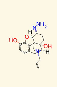 C=CCN1CC[C@]23c4c5ccc(O)c4O[C@H]2/C(=N/N)CC[C@@]3(O)[C@H]1C5